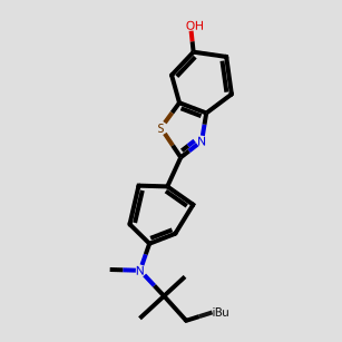 CCC(C)CC(C)(C)N(C)c1ccc(-c2nc3ccc(O)cc3s2)cc1